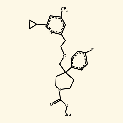 CC(C)(C)OC(=O)N1CCC(COCCc2cc(C(F)(F)F)cc(C3CC3)n2)(c2ccc(F)cc2)CC1